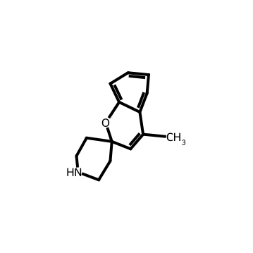 CC1=CC2(CCNCC2)Oc2ccccc21